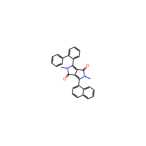 CN1C(=O)C2=C(c3cccc4ccccc34)N(C)C(=O)C2=C1c1ccccc1-c1ccccc1